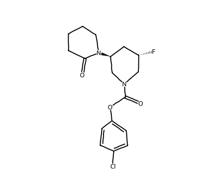 O=C(Oc1ccc(Cl)cc1)N1C[C@@H](F)C[C@H](N2CCCCC2=O)C1